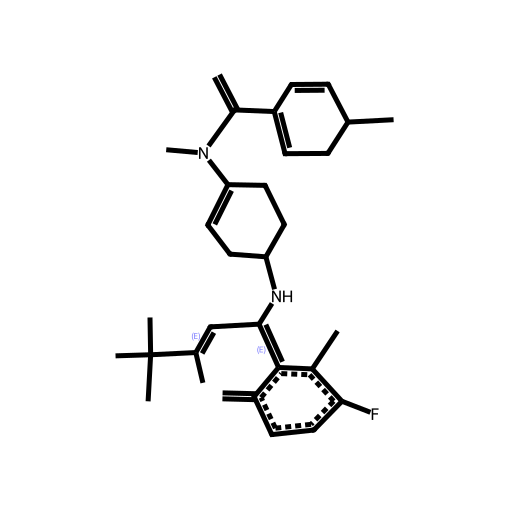 C=C(C1=CCC(C)C=C1)N(C)C1=CCC(NC(/C=C(\C)C(C)(C)C)=c2\c(C)c(F)ccc2=C)CC1